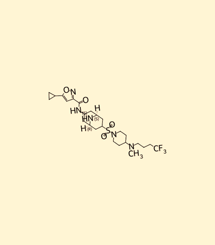 CN(CCCC(F)(F)F)C1CCN(S(=O)(=O)C2C[C@@H]3C[C@H](NC(=O)c4cc(C5CC5)on4)C[C@H](C2)N3)CC1